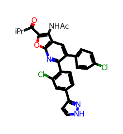 CC(=O)Nc1c(C(=O)C(C)C)oc2nc(-c3ccc(-c4cc[nH]n4)cc3Cl)c(-c3ccc(Cl)cc3)cc12